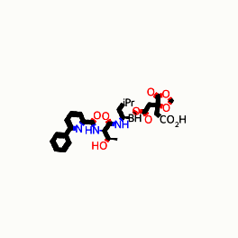 CC(C)C[C@@H](BOC(=O)CC1(CC(=O)O)OCOC1=O)NC(=O)[C@@H](NC(=O)c1cccc(-c2ccccc2)n1)[C@@H](C)O